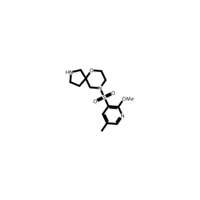 COc1ncc(C)cc1S(=O)(=O)N1CCOC2(CCNC2)C1